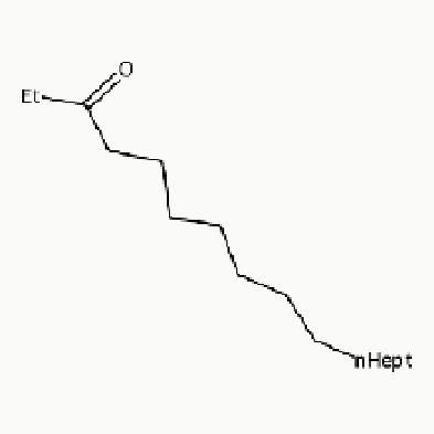 CCCCCCCCCCCCCCC(=O)CC